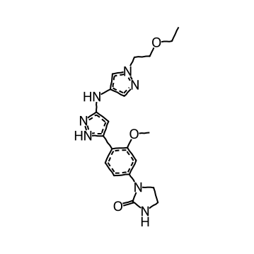 CCOCCn1cc(Nc2cc(-c3ccc(N4CCNC4=O)cc3OC)[nH]n2)cn1